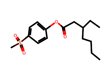 CCCCC(CC)CC(=O)Oc1ccc(S(C)(=O)=O)cc1